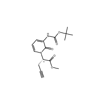 C#CC[C@@H](C(=O)OC)n1cccc(NC(=O)OC(C)(C)C)c1=O